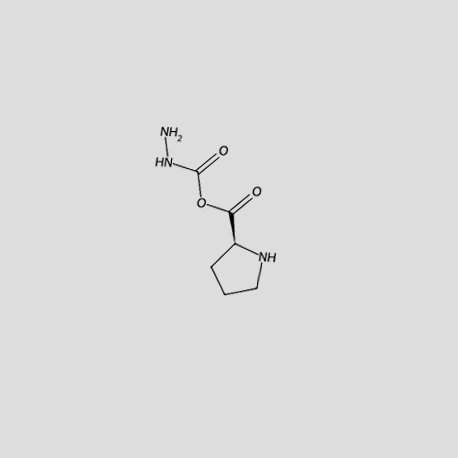 NNC(=O)OC(=O)[C@@H]1CCCN1